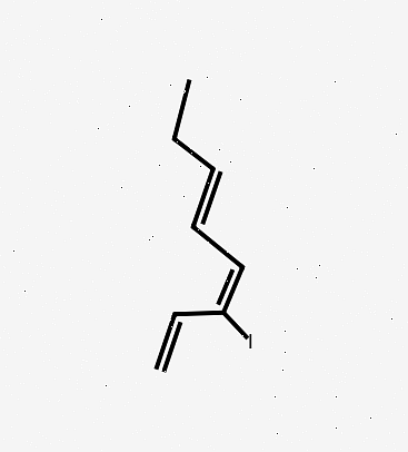 C=C/C(I)=C\C=C\CC